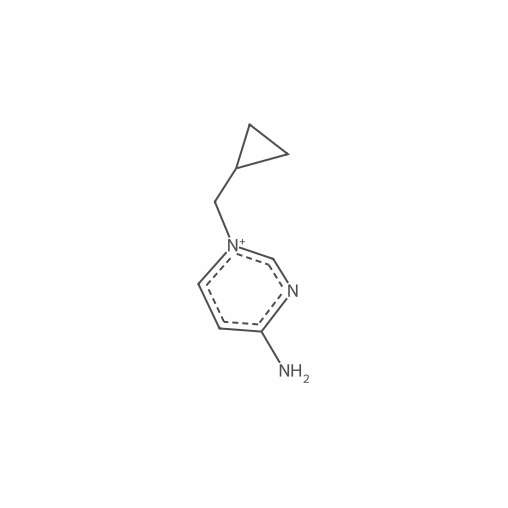 Nc1cc[n+](CC2CC2)cn1